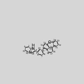 C1=CC2NC(c3cccc(-c4ccc5c6c(cccc46)-c4ccccc4O5)c3)=CN2C=C1